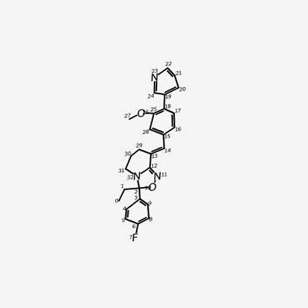 CCC1(c2ccc(F)cc2)ON=C2/C(=C/c3ccc(-c4cccnc4)c(OC)c3)CCCN21